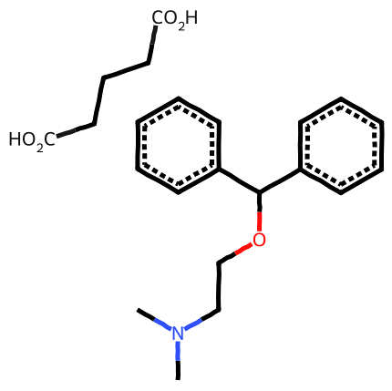 CN(C)CCOC(c1ccccc1)c1ccccc1.O=C(O)CCCC(=O)O